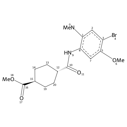 CNc1cc(Br)c(OC)cc1NC(=O)[C@H]1CC[C@H](C(=O)OC)CC1